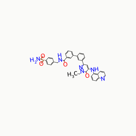 CCn1nc(-c2cccc(-c3cccc(C(=O)NCc4ccc(S(N)(=O)=O)cc4)c3)c2)cc(Nc2cccc3ncccc23)c1=O